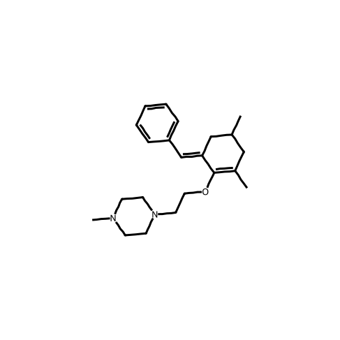 CC1=C(OCCN2CCN(C)CC2)C(=Cc2ccccc2)CC(C)C1